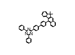 CC1(C)c2ccccc2-c2c1cc1ccccc1c2-c1ccc(-c2ccc(-c3nc(-c4ccccc4)nc(-c4ccccc4)n3)cc2)cc1